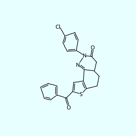 O=C(c1ccccc1)c1cc2c(s1)CCC1CC(=O)N(c3ccc(Cl)cc3)N=C21